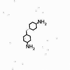 NC1CCC(C[C@H]2CC[C@H](N)CC2)CC1